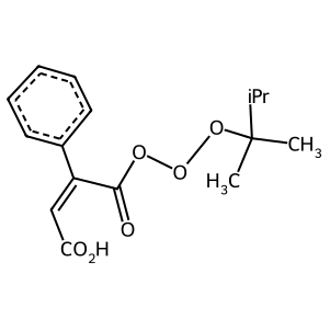 CC(C)C(C)(C)OOOC(=O)C(=CC(=O)O)c1ccccc1